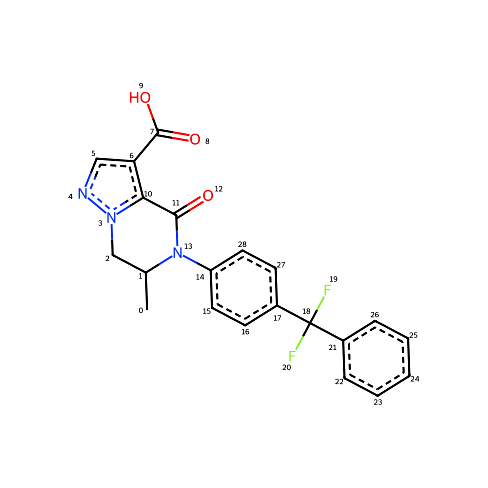 CC1Cn2ncc(C(=O)O)c2C(=O)N1c1ccc(C(F)(F)c2ccccc2)cc1